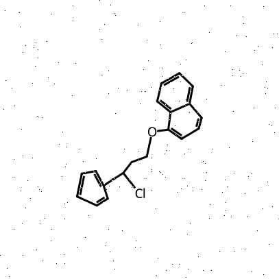 ClC(CCOc1cccc2ccccc12)c1ccccc1